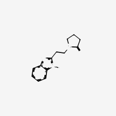 O=C1CCCN1CCc1oc2ccccc2[n+]1[O-]